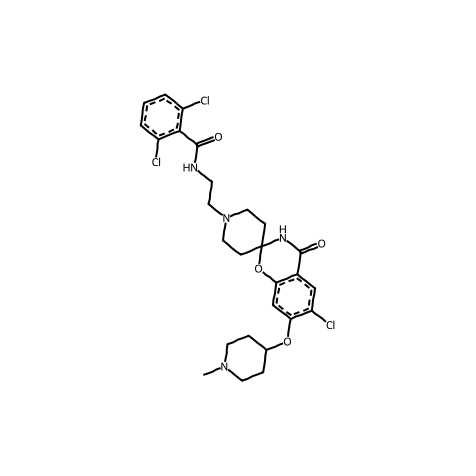 CN1CCC(Oc2cc3c(cc2Cl)C(=O)NC2(CCN(CCNC(=O)c4c(Cl)cccc4Cl)CC2)O3)CC1